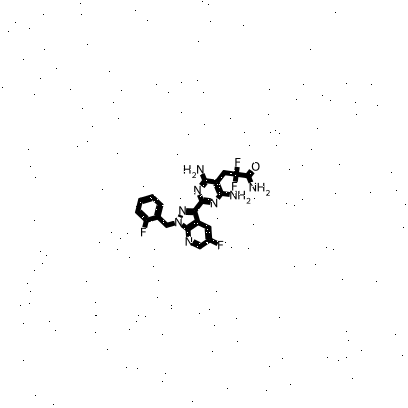 NC(=O)C(F)(F)Cc1c(N)nc(-c2nn(Cc3ccccc3F)c3ncc(F)cc23)nc1N